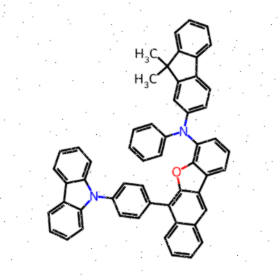 CC1(C)c2ccccc2-c2ccc(N(c3ccccc3)c3cccc4c3oc3c(-c5ccc(-n6c7ccccc7c7ccccc76)cc5)c5ccccc5cc34)cc21